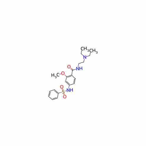 CCN(CC)CCNC(=O)c1ccc(NS(=O)(=O)c2ccccc2)cc1OC